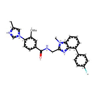 COc1cc(C(=O)NCc2nc3c(-c4ccc(F)cc4)cccc3n2C)ccc1-n1cnc(C)c1